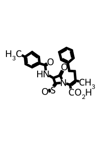 CC(CCc1ccccc1)=C(C(=O)O)N1C(=O)C(NC(=O)c2ccc(C)cc2)C1=S=O